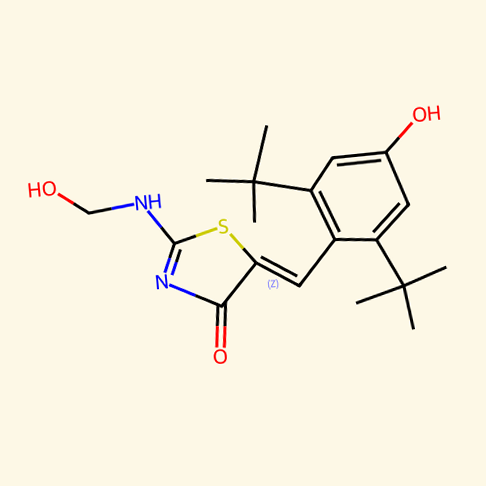 CC(C)(C)c1cc(O)cc(C(C)(C)C)c1/C=C1\SC(NCO)=NC1=O